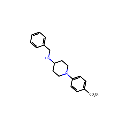 CCOC(=O)c1ccc(N2CCC(NCc3ccccc3)CC2)cc1